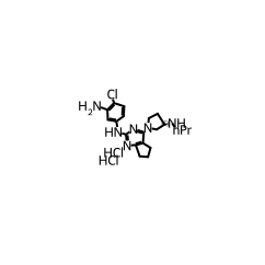 CCCN[C@H]1CCN(c2nc(Nc3ccc(Cl)c(N)c3)nc3c2CCC3)C1.Cl.Cl